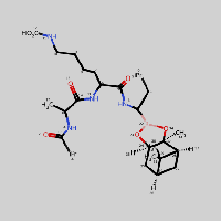 CC(C)CC(NC(=O)C(CCCCNC(=O)O)NC(=O)C(C)NC(=O)C(C)C)B1O[C@@H]2C[C@@H]3C[C@@H](C3(C)C)[C@]2(C)O1